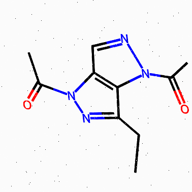 CCc1nn(C(C)=O)c2cnn(C(C)=O)c12